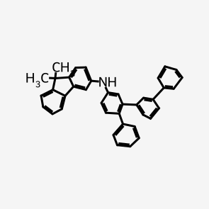 CC1(C)c2ccccc2-c2cc(Nc3ccc(-c4ccccc4)c(-c4cccc(-c5ccccc5)c4)c3)ccc21